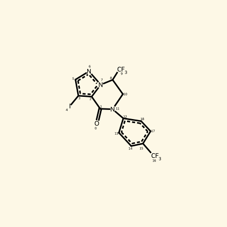 O=C1c2c(I)cnn2C(C(F)(F)F)CN1c1ccc(C(F)(F)F)cc1